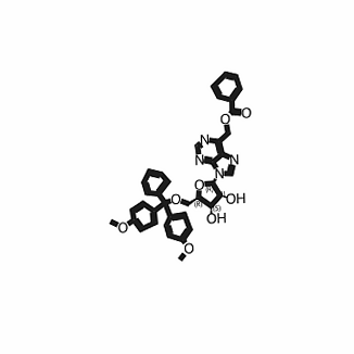 COc1ccc(C(OC[C@H]2O[C@@H](n3cnc4c(COC(=O)c5ccccc5)ncnc43)[C@H](O)[C@@H]2O)(c2ccccc2)c2ccc(OC)cc2)cc1